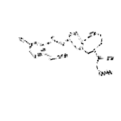 COCC(=O)N1CCOc2ncc(NSc3cc(Cl)ccc3OC)cc2C1